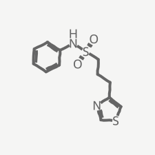 O=S(=O)(CCCc1cscn1)Nc1ccccc1